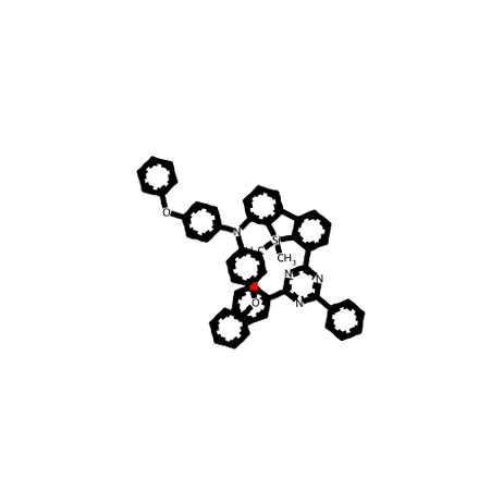 C[Si]1(C)c2c(-c3nc(-c4ccccc4)nc(-c4ccccc4)n3)cccc2-c2cccc(N(c3ccc(Oc4ccccc4)cc3)c3ccc(Oc4ccccc4)cc3)c21